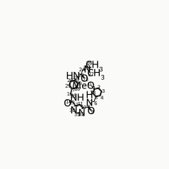 COc1cccc(CNC(=O)c2cc(C(=O)NCc3ccc(NC(=O)CN(C)C)cc3)ncn2)c1